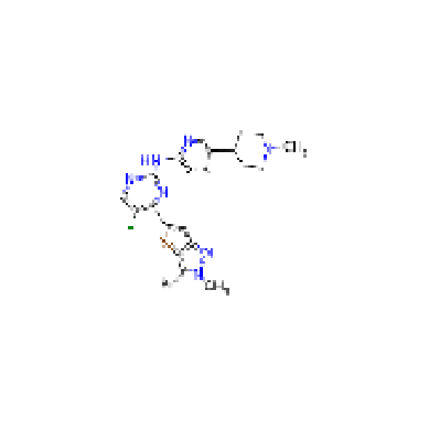 CC(C)c1c2sc(-c3nc(Nc4ccc(C5CCN(C)CC5)cn4)ncc3F)cc2nn1C